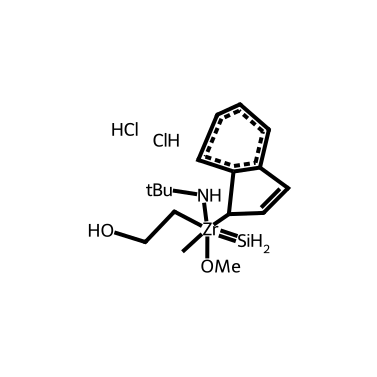 C[O][Zr]([CH3])(=[SiH2])([CH2]CO)([NH]C(C)(C)C)[CH]1C=Cc2ccccc21.Cl.Cl